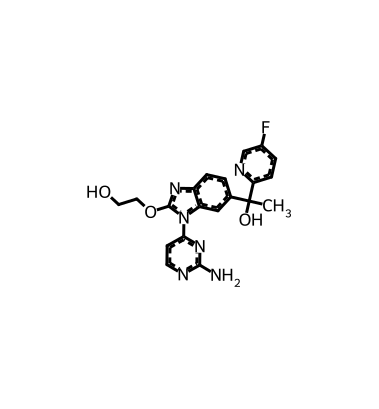 CC(O)(c1ccc2nc(OCCO)n(-c3ccnc(N)n3)c2c1)c1ccc(F)cn1